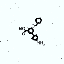 Nc1ccc(-c2cc(OCc3ccccc3)cc(C(=O)O)c2)cc1